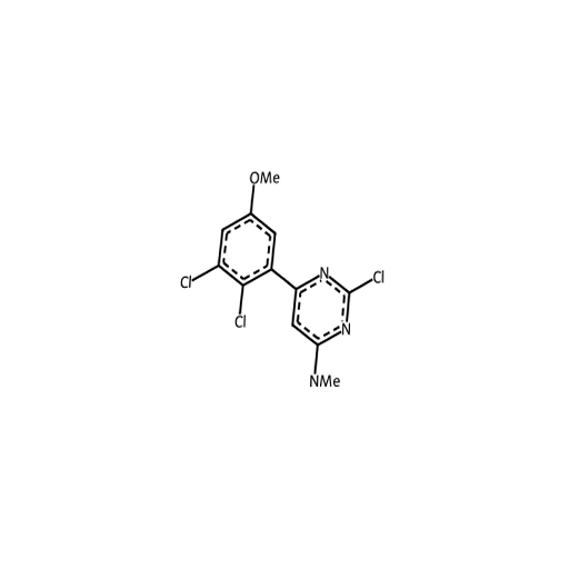 CNc1cc(-c2cc(OC)cc(Cl)c2Cl)nc(Cl)n1